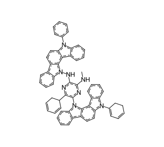 CNc1nc(-n2c3ccccc3c3ccc4c(c5ccccc5n4C4=CC=CCC4)c32)c(C2C=CC=CC2)nc1Nn1c2ccccc2c2ccc3c(c4ccccc4n3-c3ccccc3)c21